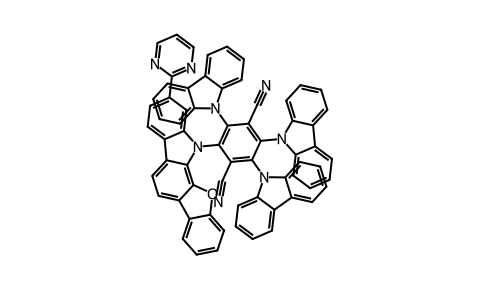 N#Cc1c(-n2c3ccccc3c3ccccc32)c(-n2c3ccccc3c3ccccc32)c(C#N)c(-n2c3cc(-c4ncccn4)ccc3c3ccc4c5ccccc5oc4c32)c1-n1c2ccccc2c2ccccc21